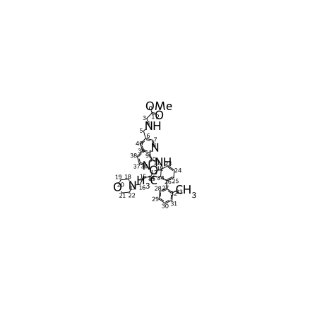 COC(=O)CNCc1cnc2c(NC3(OCCCN4CCOCC4)C=CC=C(c4ccccc4C)C3C)nccc2c1